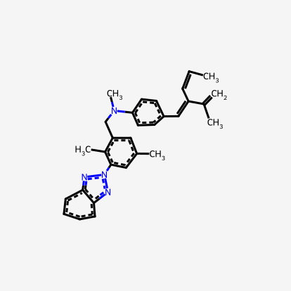 C=C(C)C(/C=C\C)=C/c1ccc(N(C)Cc2cc(C)cc(-n3nc4ccccc4n3)c2C)cc1